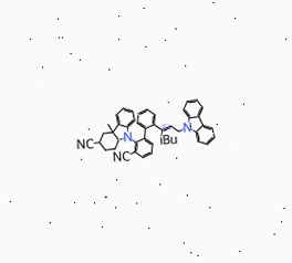 CCC(C)/C(=C\Cn1c2ccccc2c2ccccc21)c1ccccc1-c1cccc(C#N)c1N1c2ccccc2C2(C)CC(C#N)CCC12